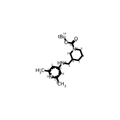 Cc1cc(NCC2CCCN(C(=O)OC(C)(C)C)C2)cc(C)n1